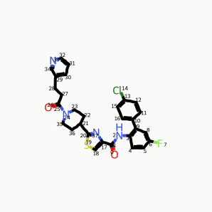 O=C(Nc1ccc(F)cc1-c1ccc(Cl)cc1)c1csc(C2CCN(C(=O)CCc3cccnc3)CC2)n1